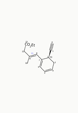 C#C[C@H]1CC=CC=C1/C=C(\C)CC(=O)OCC